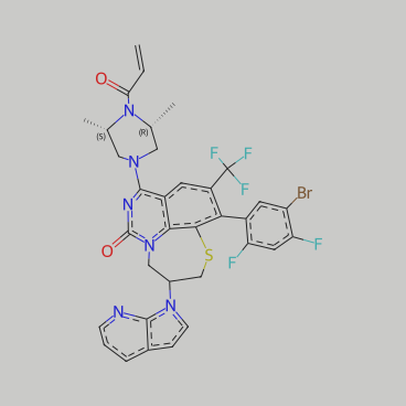 C=CC(=O)N1[C@H](C)CN(c2nc(=O)n3c4c(c(-c5cc(Br)c(F)cc5F)c(C(F)(F)F)cc24)SCC(n2ccc4cccnc42)C3)C[C@@H]1C